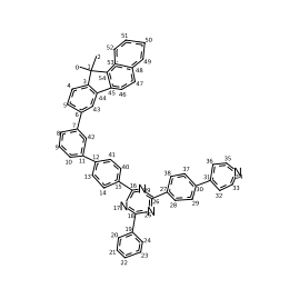 CC1(C)c2ccc(-c3cccc(-c4ccc(-c5nc(-c6ccccc6)nc(-c6ccc(-c7ccncc7)cc6)n5)cc4)c3)cc2-c2ccc3ccccc3c21